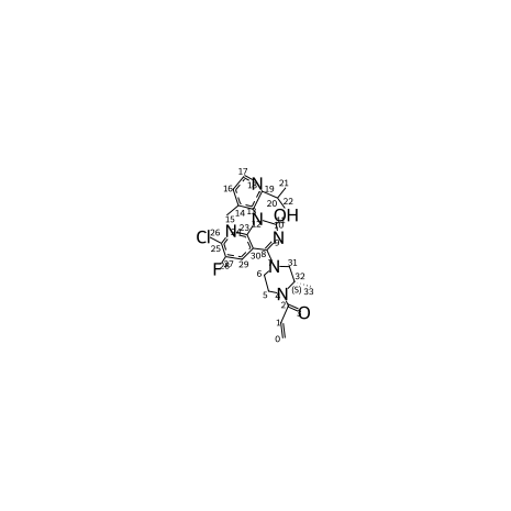 C=CC(=O)N1CCN(C2=NC(O)N(c3c(C)ccnc3C(C)C)c3nc(Cl)c(F)cc32)C[C@@H]1C